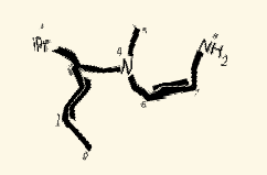 C/C=C(/C(C)C)N(C)/C=C\N